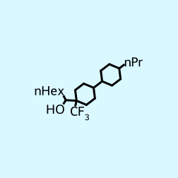 CCCCCCC(O)C1(C(F)(F)F)CCC(C2CCC(CCC)CC2)CC1